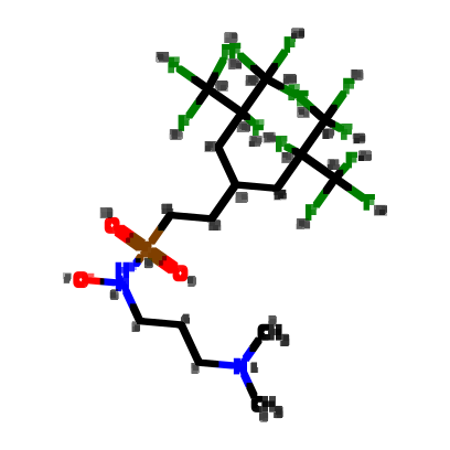 CN(C)CCC[NH+]([O-])S(=O)(=O)CCC(CC(F)(C(F)(F)F)C(F)(F)F)CC(F)(C(F)(F)F)C(F)(F)F